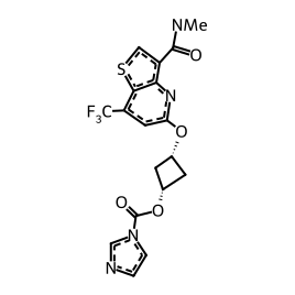 CNC(=O)c1csc2c(C(F)(F)F)cc(O[C@H]3C[C@@H](OC(=O)n4ccnc4)C3)nc12